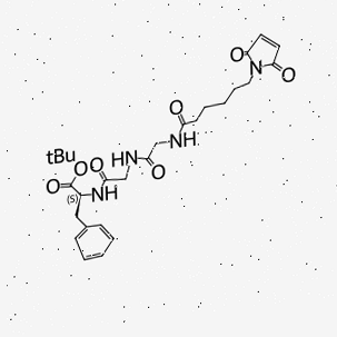 CC(C)(C)OC(=O)[C@H](Cc1ccccc1)NC(=O)CNC(=O)CNC(=O)CCCCCN1C(=O)C=CC1=O